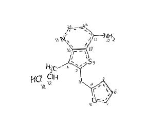 Cc1c(Cc2ccco2)sc2c(N)ccnc12.Cl.Cl